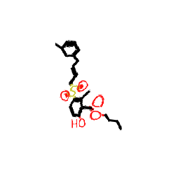 CCCCOC(=O)c1c(O)ccc(S(=O)(=O)CC=CCc2cccc(C)c2)c1C